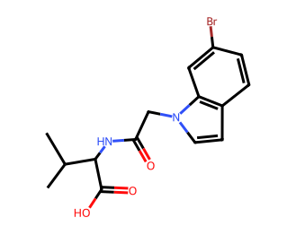 CC(C)C(NC(=O)Cn1ccc2ccc(Br)cc21)C(=O)O